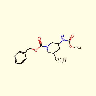 CC(C)(C)OC(=O)NC1CC(C(=O)O)CN(C(=O)OCc2ccccc2)C1